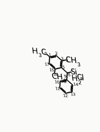 Cc1cc(C)c(C([SiH2]Cl)c2ccccc2)c(C)c1